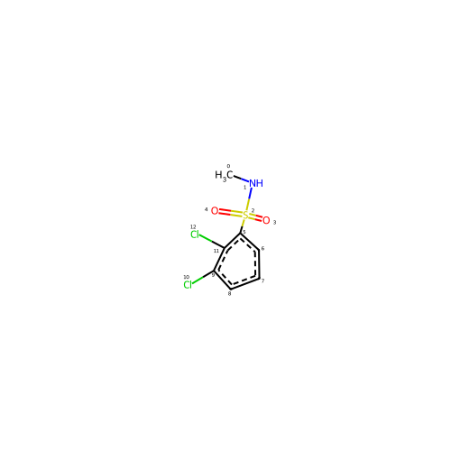 CNS(=O)(=O)c1cccc(Cl)c1Cl